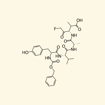 CC(C)[C@H](NC(=O)C(Cc1ccc(O)cc1)NC(=O)OCc1ccccc1)C(=O)N[C@@H](C)C(=O)N[C@H](C(=O)CF)C(C)C(=O)O